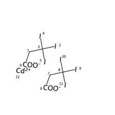 O=C([O-])CC(I)(I)I.O=C([O-])CC(I)(I)I.[Cd+2]